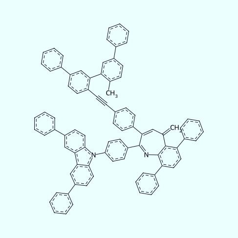 C=C1C=C(c2ccc(C#Cc3ccc(-c4ccccc4)cc3-c3cc(-c4ccccc4)ccc3C)cc2)C(c2ccc(-n3c4ccc(-c5ccccc5)cc4c4cc(-c5ccccc5)ccc43)cc2)=Nc2c(-c3ccccc3)ccc(-c3ccccc3)c21